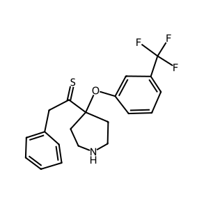 FC(F)(F)c1cccc(OC2(C(=S)Cc3ccccc3)CCNCC2)c1